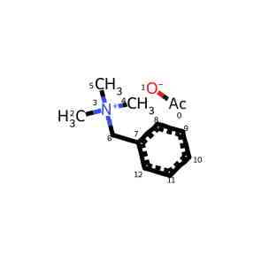 CC(=O)[O-].C[N+](C)(C)Cc1ccccc1